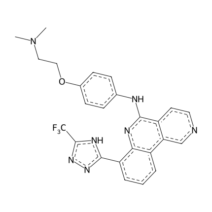 CN(C)CCOc1ccc(Nc2nc3c(-c4nnc(C(F)(F)F)[nH]4)cccc3c3cnccc23)cc1